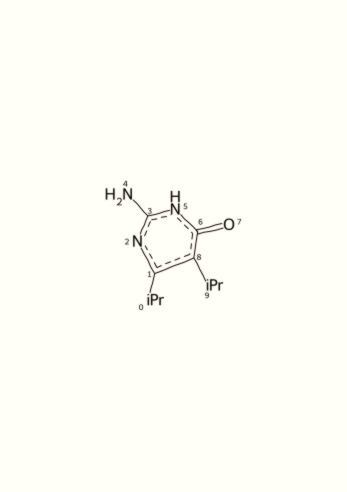 CC(C)c1nc(N)[nH]c(=O)c1C(C)C